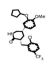 COc1ccc([C@H]2CNC(=O)[C@@H](Cc3cc(C(F)(F)F)ccc3Cl)C2)cc1OC1CCCC1